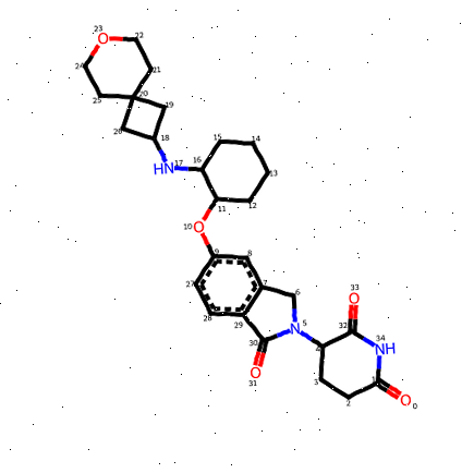 O=C1CCC(N2Cc3cc(OC4CCCCC4NC4CC5(CCOCC5)C4)ccc3C2=O)C(=O)N1